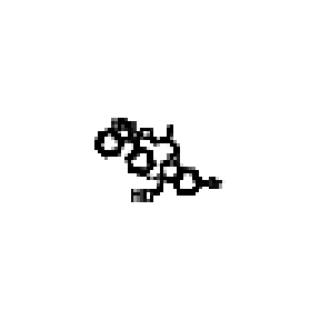 CC(CO[Si](c1ccccc1)(c1ccccc1)C(C)(C)C)CN1C[C@](C)(CO)c2ccc(Br)cc21